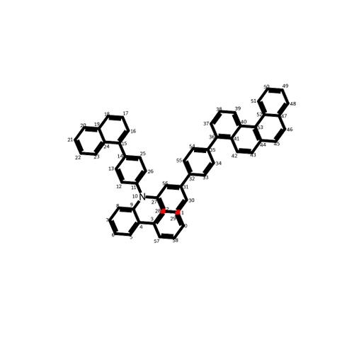 c1ccc(-c2ccccc2N(c2ccc(-c3cccc4ccccc34)cc2)c2cccc(-c3ccc(-c4cccc5c4ccc4ccc6ccccc6c45)cc3)c2)cc1